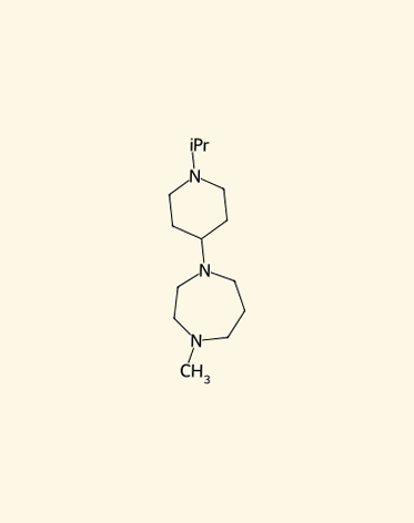 CC(C)N1CCC(N2CCCN(C)CC2)CC1